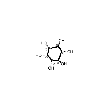 O[C@@H]1[C@@H](O)[P@](O)[C@H](O)[P@](O)[C@H]1O